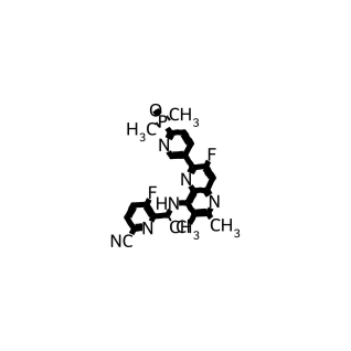 Cc1nc2cc(F)c(-c3ccc(P(C)(C)=O)nc3)nc2c(N[C@H](C)c2nc(C#N)ccc2F)c1Cl